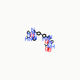 CC(C)C(Nc1cccnc1)C(=O)N1CCC[C@H]1c1ncc(-c2ccc(-c3ccc(-c4cnc([C@@H]5CCCN5C(=O)[C@@H](NC5OCO5)C(C)C)[nH]4)cc3)cc2)[nH]1